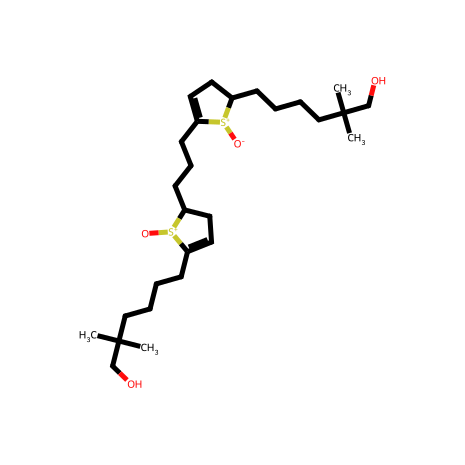 CC(C)(CO)CCCCC1=CCC(CCCC2=CCC(CCCCC(C)(C)CO)[S+]2[O-])[S+]1[O-]